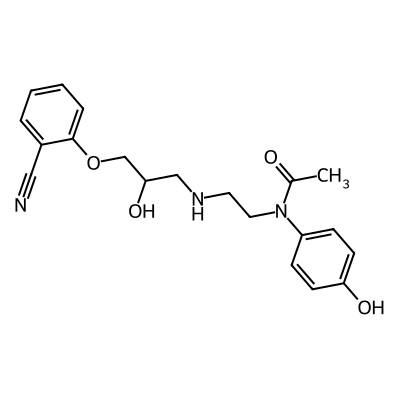 CC(=O)N(CCNCC(O)COc1ccccc1C#N)c1ccc(O)cc1